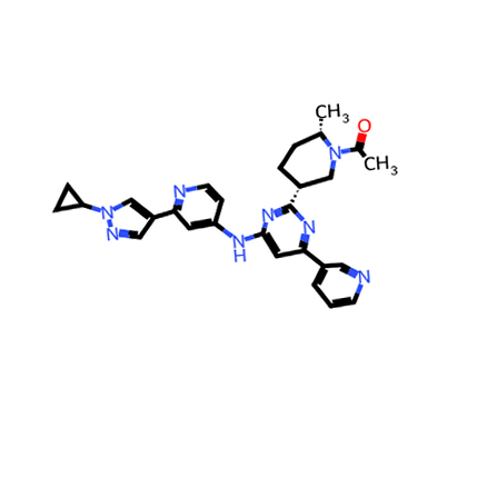 CC(=O)N1C[C@H](c2nc(Nc3ccnc(-c4cnn(C5CC5)c4)c3)cc(-c3cccnc3)n2)CC[C@@H]1C